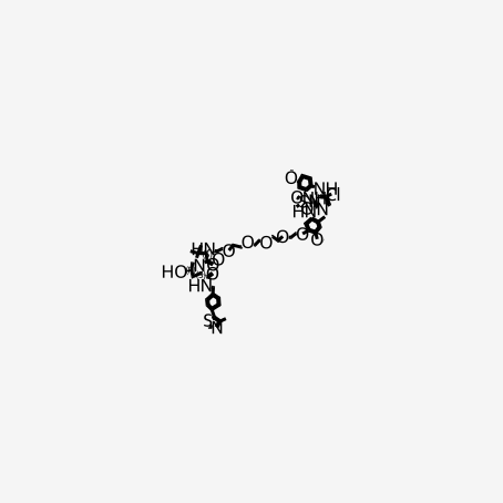 COc1ccc(Nc2nc(Nc3cc(OCCOCCOCCOCCOCC(=O)N[C@H](C(=O)N4C[C@H](O)C[C@H]4C(=O)NCc4ccc(-c5scnc5C)cc4)C(C)(C)C)c(OC)cc3C)ncc2Cl)c(NS(C)(=O)=O)c1